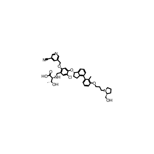 Cc1c(OCCCN2CCC[C@H]2CO)cccc1-c1cccc2c1CC[C@@H]2Oc1cc(OCc2cncc(C#N)c2)c(CN[C@H](C(=O)O)[C@@H](C)O)cc1Cl